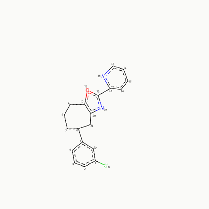 Clc1cccc(C2CCCc3oc(-c4ccccn4)nc3C2)c1